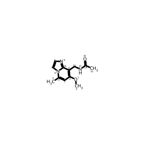 COc1cc(C)n2ccnc2c1CNC(C)=O